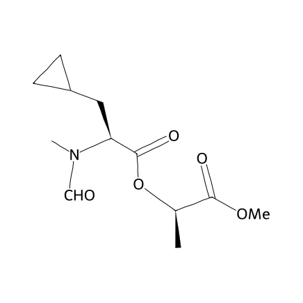 COC(=O)[C@@H](C)OC(=O)[C@H](CC1CC1)N(C)C=O